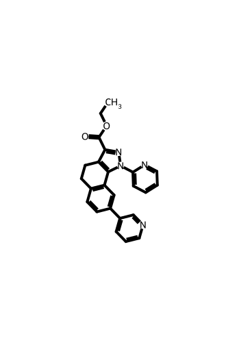 CCOC(=O)c1nn(-c2ccccn2)c2c1CCc1ccc(-c3cccnc3)cc1-2